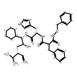 C=C[C@@H](C[C@H](O)[C@@H](NC(=O)[C@H](Cc1c[nH]cn1)NC(=O)C(Cc1ccccc1)C(=O)NOCc1ccccc1)C1CCCCC1)C(C)C